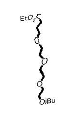 CCOC(=O)CCCOCCOCCOCCOCC(C)C